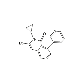 CCc1cc2cccc(-c3cccnc3)c2c(=O)n1C1CC1